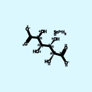 O=C([O-])[C@@H](O)[C@@H](O)[C@H](O)[C@@H](O)C(=O)[O-].[SnH2+2]